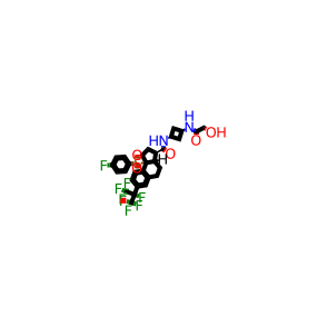 O=C(CO)N[C@H]1C[C@H](NC(=O)[C@@H]2CC[C@@]3(S(=O)(=O)c4ccc(F)cc4)c4ccc(C(F)(C(F)(F)F)C(F)(F)F)cc4CC[C@@H]23)C1